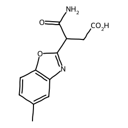 Cc1ccc2oc(C(CC(=O)O)C(N)=O)nc2c1